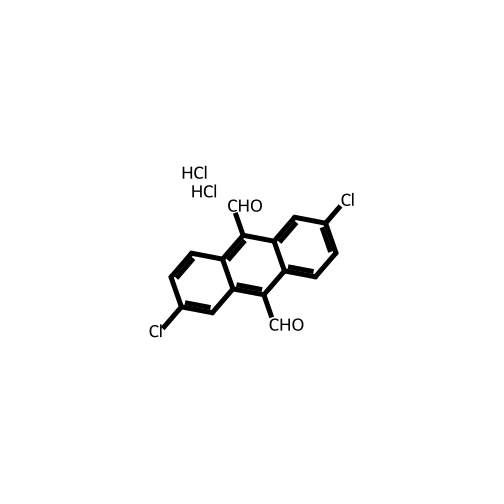 Cl.Cl.O=Cc1c2ccc(Cl)cc2c(C=O)c2ccc(Cl)cc12